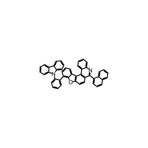 c1ccc(-n2c3ccccc3c3ccccc32)c(-c2cccc3c2oc2ccc4c(-c5cccc6ccccc56)nc5ccccc5c4c23)c1